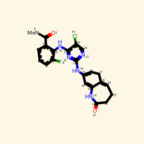 CNC(=O)c1cccc(F)c1Nc1nc(NC2=CCC3=CCCC(=O)NC3=C2)ncc1Cl